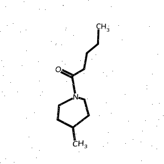 CCCCC(=O)N1CCC(C)CC1